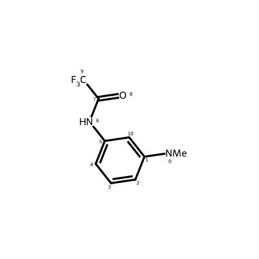 CNc1cccc(NC(=O)C(F)(F)F)c1